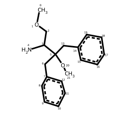 COCC(N)C(Cc1ccccc1)(Cc1ccccc1)OC